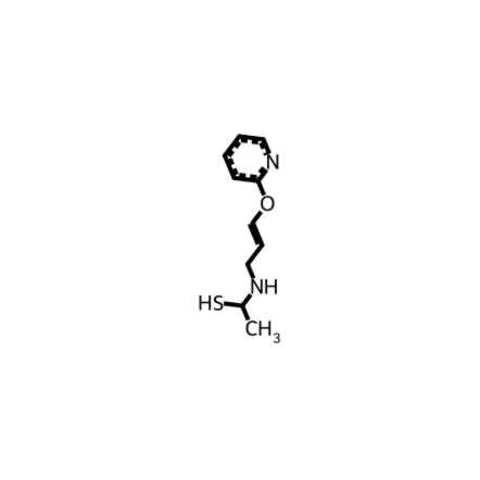 CC(S)NCC=COc1ccccn1